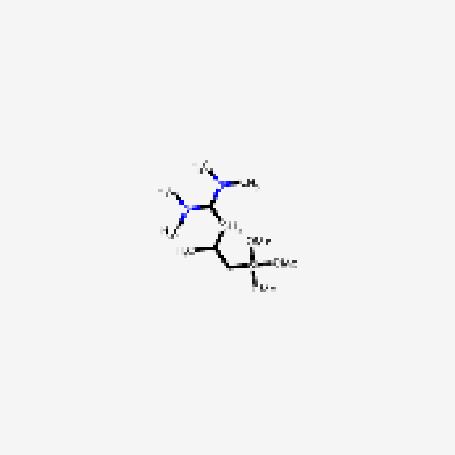 CO[Si](CC(C)[SiH2]C(N(C)C)N(C)C)(OC)OC